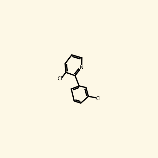 Clc1cccc(-c2ncccc2Cl)c1